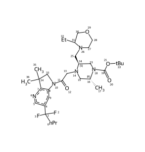 CCCC(F)(F)c1cnc2c(c1)N(C(=O)CN1C[C@@H](C)N(C(=O)OC(C)(C)C)C[C@@H]1CN1CCOCC1CC)CC2(C)C